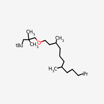 CC(C)CCCC(C)CCCC(C)CCOCC(C)(C)CC(C)(C)C